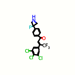 O=C(C=C(c1cc(Cl)c(Cl)c(Cl)c1)C(F)(F)F)c1ccc(C2(F)CNC2)cc1